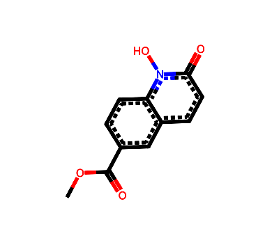 COC(=O)c1ccc2c(ccc(=O)n2O)c1